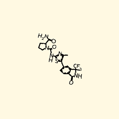 Cc1nc(NC(=O)N2CCCC2C(N)=O)sc1-c1ccc2c(c1)C(C)(C(F)(F)F)NC2=O